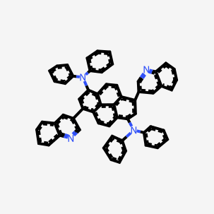 c1ccc(N(c2ccccc2)c2cc(-c3cnc4ccccc4c3)c3ccc4c(N(c5ccccc5)c5ccccc5)cc(-c5cnc6ccccc6c5)c5ccc2c3c54)cc1